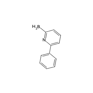 Bc1cccc(-c2ccccc2)n1